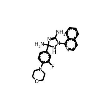 NC1=NC(N)(c2ccc(N3CCOCC3)c(F)c2)NN1c1nccc2ccccc12